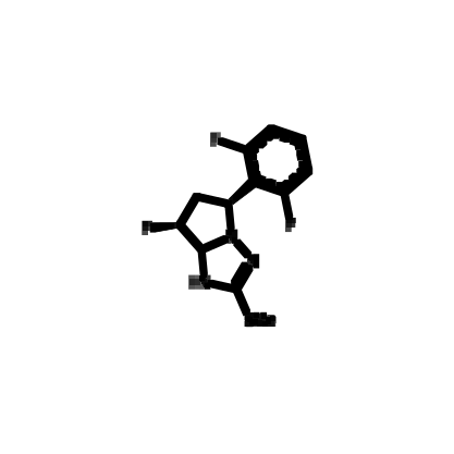 CSC1=NN2C(N1)[C@@H](F)C[C@H]2c1c(F)cccc1F